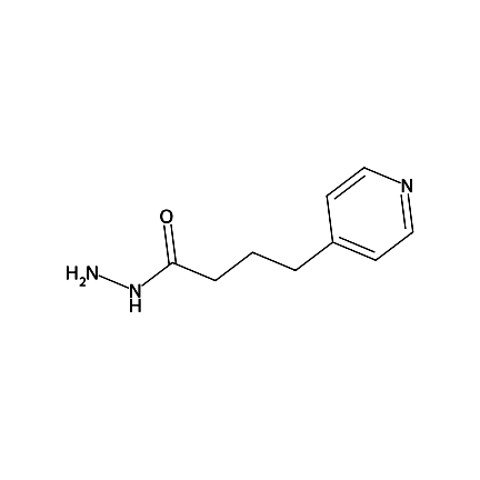 NNC(=O)CCCc1ccncc1